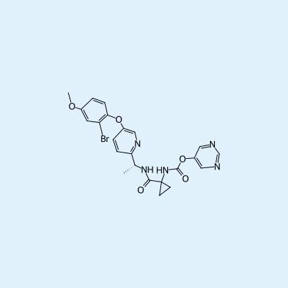 COc1ccc(Oc2ccc([C@@H](C)NC(=O)C3(NC(=O)Oc4cncnc4)CC3)nc2)c(Br)c1